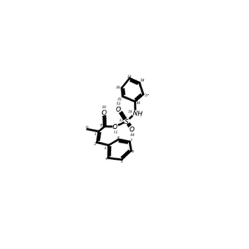 CC(=Cc1ccccc1)C(=O)OS(=O)(=O)Nc1ccccc1